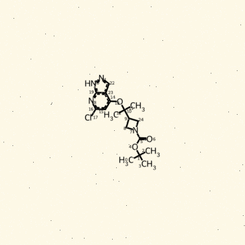 CC(C)(C)OC(=O)N1CC(C(C)(C)Oc2cc(Cl)nc3[nH]ncc23)C1